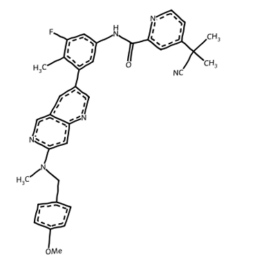 COc1ccc(CN(C)c2cc3ncc(-c4cc(NC(=O)c5cc(C(C)(C)C#N)ccn5)cc(F)c4C)cc3cn2)cc1